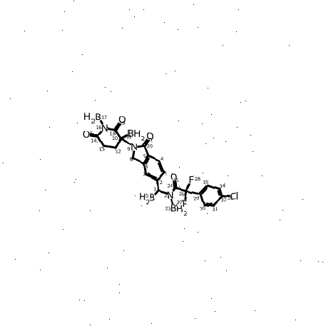 BC(c1ccc2c(c1)CN(C1(B)CCC(=O)N(B)C1=O)C2=O)N(B)C(=O)C(F)(F)c1ccc(Cl)cc1